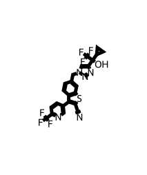 N#Cc1sc2cc(Cn3cc(C(O)(C4CC4)C(F)(F)F)nn3)ccc2c1-c1ccc(C(F)(F)F)nc1